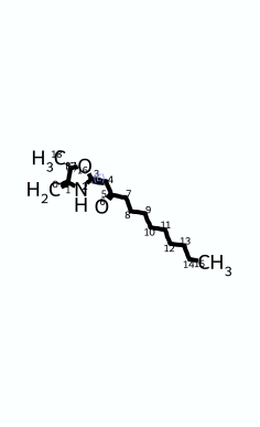 C=C1N/C(=C\C(=O)CCCCCCCCC)O[C@H]1C